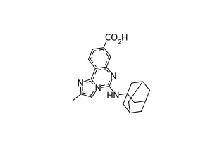 Cc1cn2c(NC34CC5CC(CC(C5)C3)C4)nc3cc(C(=O)O)ccc3c2n1